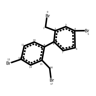 BrCc1cc(Br)ccc1-c1ccc(Br)cc1CBr